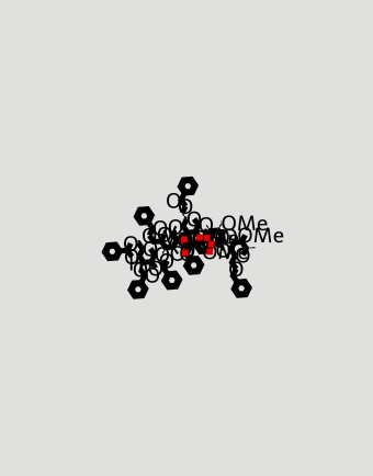 COC[C@@H]1O[C@@H](O[C@@H]2C(COCc3ccccc3)O[C@@H](C)C(OC)[C@H]2OC)C(OC)C(OC)[C@@H]1O[C@H]1O[C@@H](COC(=O)c2ccccc2)[C@@H](O[C@@H]2OC(COC(=O)c3ccccc3)[C@@H](O[C@H]3OC4COC(c5ccccc5)O[C@H]4[C@H](OC(=O)c4ccccc4)C3OC(=O)c3ccccc3)[C@H](OC(=O)c3ccccc3)C2OC(=O)c2ccccc2)C(OC)C1OC